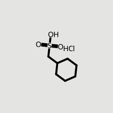 Cl.O=S(=O)(O)CC1CCCCC1